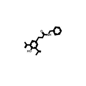 C=C(C)c1cc(CCC(=O)NCc2ccccc2)cc(C(=C)C)c1O